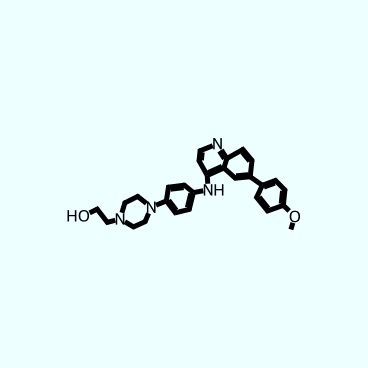 COc1ccc(-c2ccc3nccc(Nc4ccc(N5CCN(CCO)CC5)cc4)c3c2)cc1